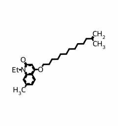 C=C(C)CCCCCCCCCCCOc1cc(=O)n(CC)c2cc(C)ccc12